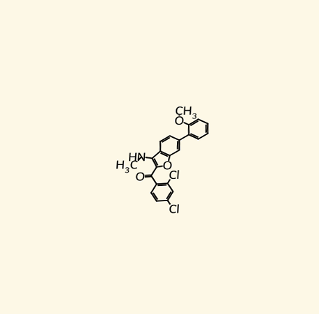 CNc1c(C(=O)c2ccc(Cl)cc2Cl)oc2cc(-c3ccccc3OC)ccc12